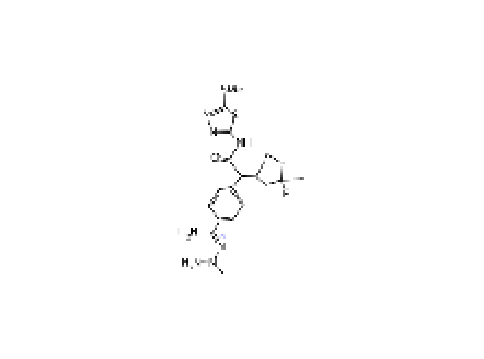 CSc1nnc(NC(=O)C(c2ccc(/C(N)=N/N(C)N)cc2)C2CCC(F)(F)C2)s1